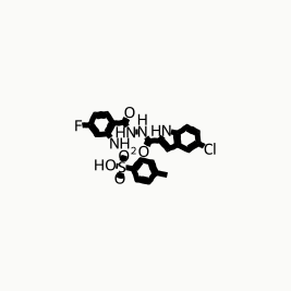 Cc1ccc(S(=O)(=O)O)cc1.Nc1cc(F)ccc1C(=O)NNC(=O)c1cc2cc(Cl)ccc2[nH]1